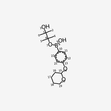 CC(C)(O)C(C)(C)OB(O)c1ccc(OC2CCCCO2)cc1